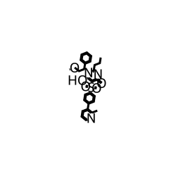 CCCc1nc(=O)c(S(=O)(=O)c2ccc(-c3cccnc3C)cc2)c(O)n1C(COC)c1ccccc1